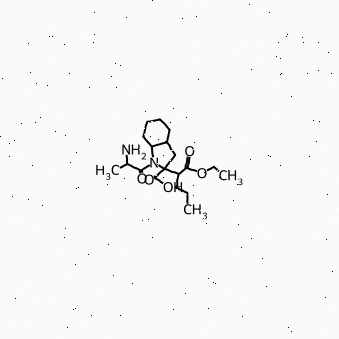 CCCC(C(=O)OCC)C1(C(=O)O)CC2CCCCC2N1C(=O)C(C)N